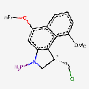 CCCOc1cc2c(c3c(OC)cccc13)[C@H](CCl)CN2P